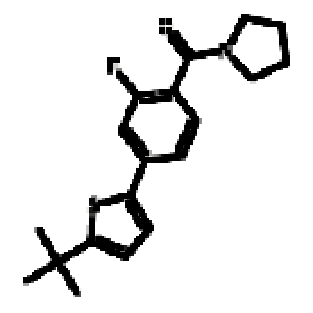 CC(C)(C)c1ccc(-c2ccc(C(=O)N3CCCC3)c(F)c2)s1